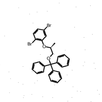 C[C@@H](COC(c1ccccc1)(c1ccccc1)c1ccccc1)Oc1cc(Br)ccc1Br